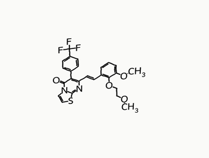 COCCOc1c(C=Cc2nc3sccn3c(=O)c2-c2ccc(C(F)(F)F)cc2)cccc1OC